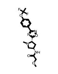 COCC(=O)N[C@H]1C[C@@H](c2nc(-c3ccc(OC(C)(F)F)cc3)no2)N(C)C1